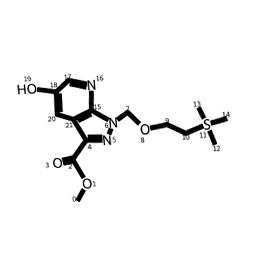 COC(=O)c1nn(COCCS(C)(C)C)c2ncc(O)cc12